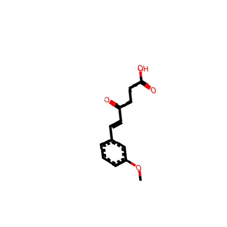 COc1cccc(C=CC(=O)CCC(=O)O)c1